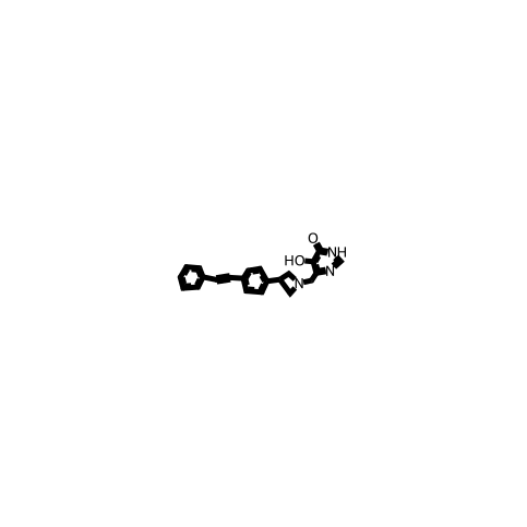 O=c1[nH]cnc(CN2CC(c3ccc(C#Cc4ccccc4)cc3)C2)c1O